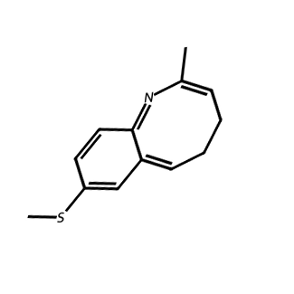 CSc1ccc2/c(c1)=C\CC/C=C(C)\N=2